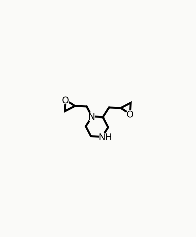 C1CN(CC2CO2)C(CC2CO2)CN1